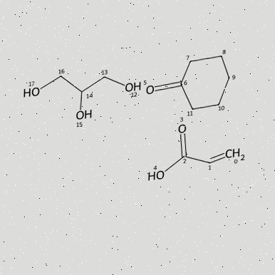 C=CC(=O)O.O=C1CCCCC1.OCC(O)CO